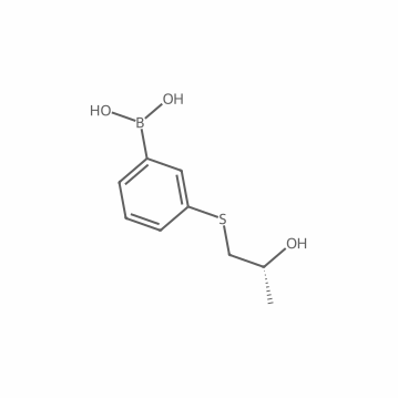 C[C@@H](O)CSc1cccc(B(O)O)c1